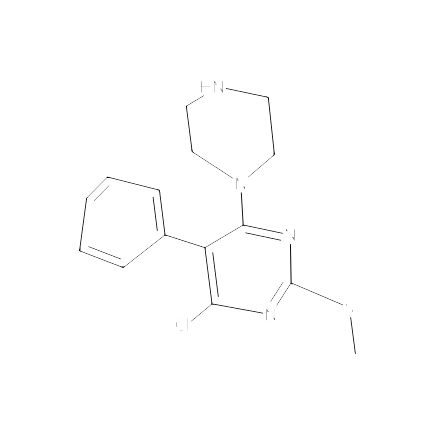 CSc1nc(Cl)c(-c2ccccc2)c(N2CCNCC2)n1